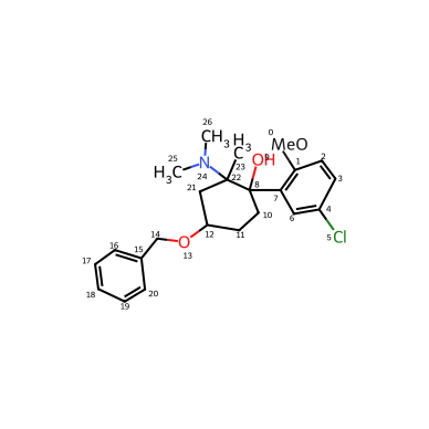 COc1ccc(Cl)cc1C1(O)CCC(OCc2ccccc2)CC1(C)N(C)C